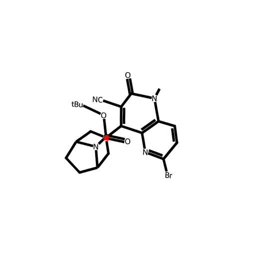 Cn1c(=O)c(C#N)c(N2CC3CCC(C2)N3C(=O)OC(C)(C)C)c2nc(Br)ccc21